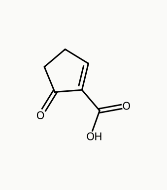 O=C(O)C1=CCCC1=O